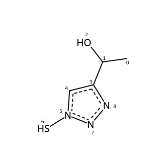 CC(O)c1cn(S)nn1